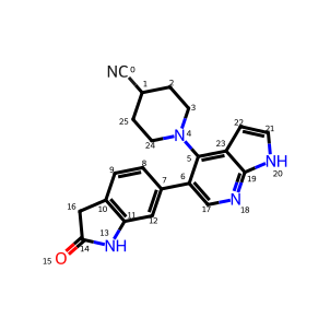 N#CC1CCN(c2c(-c3ccc4c(c3)NC(=O)C4)cnc3[nH]ccc23)CC1